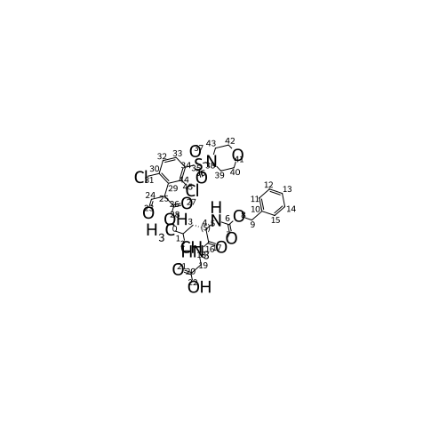 CC(C)C[C@H](NC(=O)OCc1ccccc1)C(=O)NCC(=O)O.O=CC(C(=O)O)c1c(Cl)ccc(S(=O)(=O)N2CCOCC2)c1Cl